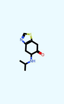 CC(C)NC1Cc2ncsc2CC1=O